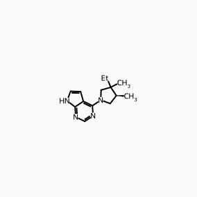 CCC1(C)CN(c2ncnc3[nH]ccc23)C[C@@H]1C